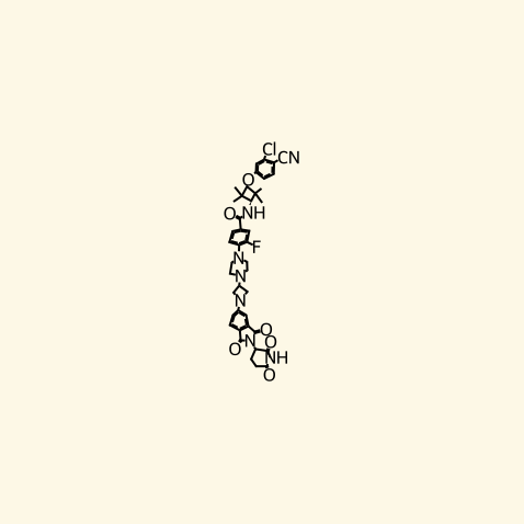 CC1(C)[C@H](NC(=O)c2ccc(N3CCN(C4CN(c5ccc6c(c5)C(=O)N(C5CCC(=O)NC5=O)C6=O)C4)CC3)c(F)c2)C(C)(C)[C@H]1Oc1ccc(C#N)c(Cl)c1